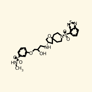 CNS(=O)(=O)c1cccc(OCC(O)CN[C@@H]2COC3(CCN(S(=O)(=O)c4cccc5nsnc45)CC3)C2)c1